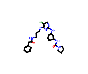 O=C(Cc1ccccc1)NCCCNc1nc(Nc2cccc(NC(=O)N3CCCC3)c2)ncc1Br